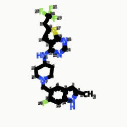 Cc1cc2cc(CN3CCC(Nc4ncnc5sc(CC(F)(F)F)cc45)CC3)c(F)cc2[nH]1